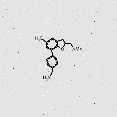 CNCC1Cc2cc(C)cc(-c3ccc(CN)cc3)c2O1